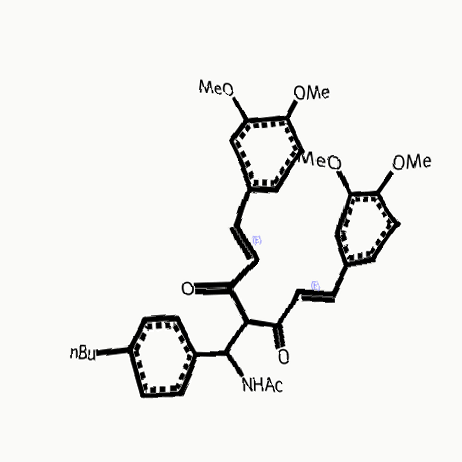 CCCCc1ccc(C(NC(C)=O)C(C(=O)/C=C/c2ccc(OC)c(OC)c2)C(=O)/C=C/c2ccc(OC)c(OC)c2)cc1